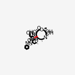 CC[C@H]1OC(=O)[C@H](C)[C@@H](O)[C@H](C)[C@@H](O[C@@H]2O[C@H](C)C[C@H](N(C)C(=O)N(C)c3ccccc3)[C@H]2Oc2cc(OC)nnc2OC)[C@](C)(O)C[C@@H](C)CN(C)[C@H](C)[C@@H](O)[C@]1(C)O